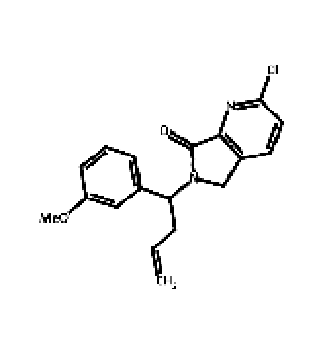 C=CCC(c1cccc(OC)c1)N1Cc2ccc(Cl)nc2C1=O